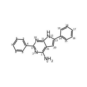 Nc1nc(-c2ccccc2)nc2[nH]c(-c3ccccc3)cc12